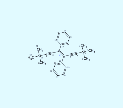 C[Si](C)(C)C#C/C(=C(/C#C[Si](C)(C)C)c1ccccc1)c1ccccc1